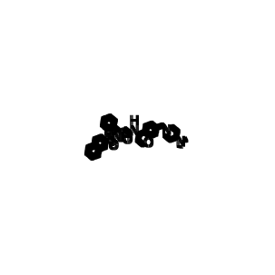 CN(C)C1CCN(Cc2ccc3c(c2)OCCC3NC(=O)C[C@H](NS(=O)(=O)c2ccc3ccccc3c2)c2ccccc2)CC1